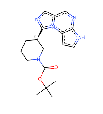 CC(C)(C)OC(=O)N1CCC[C@@H](c2ncc3cnc4[nH]ccc4n23)C1